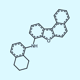 c1cc2c(c(Nc3cccc4c3oc3ccc5ccccc5c34)c1)CCCC2